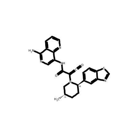 C[C@H]1CC[C@H](c2ccc3scnc3c2)N(C(=C=O)C(=O)Nc2cnc(N)c3cccnc23)C1